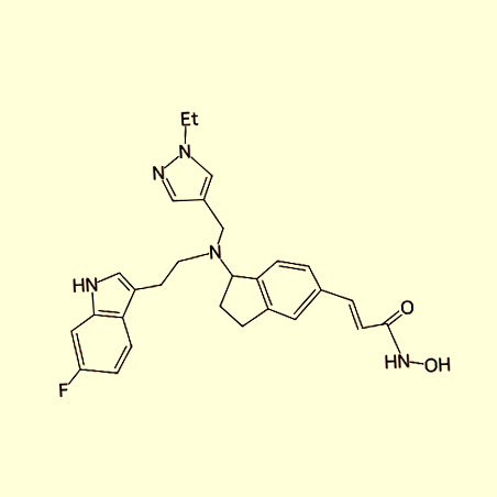 CCn1cc(CN(CCc2c[nH]c3cc(F)ccc23)C2CCc3cc(C=CC(=O)NO)ccc32)cn1